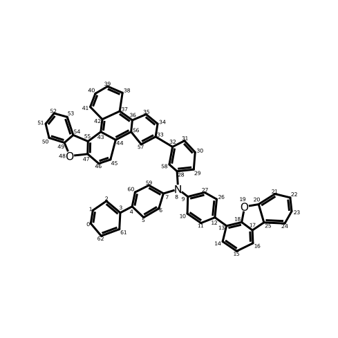 c1ccc(-c2ccc(N(c3ccc(-c4cccc5c4oc4ccccc45)cc3)c3cccc(-c4ccc5c6ccccc6c6c(ccc7oc8ccccc8c76)c5c4)c3)cc2)cc1